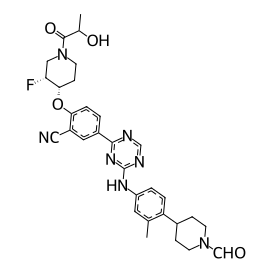 Cc1cc(Nc2ncnc(-c3ccc(O[C@H]4CCN(C(=O)C(C)O)C[C@H]4F)c(C#N)c3)n2)ccc1C1CCN(C=O)CC1